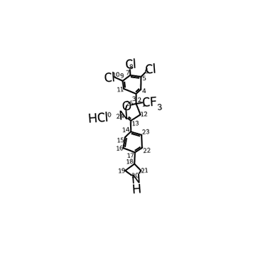 Cl.FC(F)(F)C1(c2cc(Cl)c(Cl)c(Cl)c2)CC(c2ccc(C3CNC3)cc2)=NO1